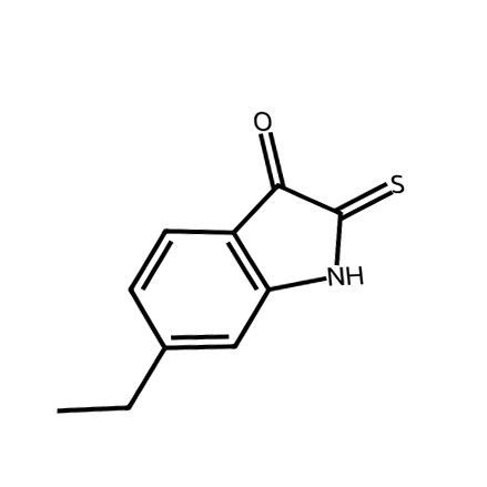 CCc1ccc2c(c1)NC(=S)C2=O